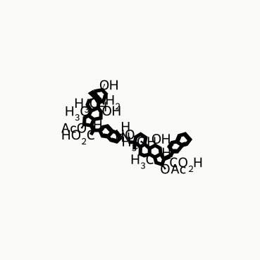 CC(=O)O[C@H]1C[C@]2(C)C3CC[C@@]45CC4(CN)[C@H](O)CC[C@]5(C)[C@@H]3[C@H](O)C[C@H]2/C1=C(/C(=O)O)c1ccc2cc(NCC34C[C@]35CCC3[C@@H]([C@H](O)C[C@H]6/C(=C(/C(=O)O)c7ccc8ccccc8c7)[C@@H](OC(C)=O)C[C@]36C)[C@@]5(C)CC[C@H]4O)ccc2c1